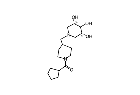 O=C(C1CCCC1)N1CCC(CN2C[C@@H](O)C(O)[C@@H](O)C2)CC1